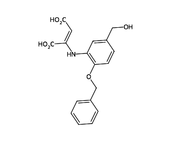 O=C(O)C=C(Nc1cc(CO)ccc1OCc1ccccc1)C(=O)O